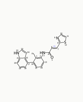 Cc1c(NC(=O)/C=C/c2nccs2)cccc1-c1cccc2[nH]ccc12